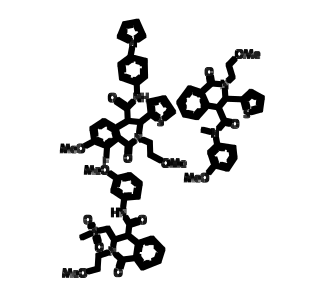 COCCN1C(=O)c2c(ccc(OC)c2F)C(C(=O)Nc2ccc(-n3cccc3)cc2)C1c1cccs1.COCCN1C(=O)c2ccccc2C(C(=O)N(C)c2cccc(OC)c2)C1c1cccs1.COCCN1C(=O)c2ccccc2C(C(=O)Nc2cccc(OC)c2)C1CS(C)(=O)=O